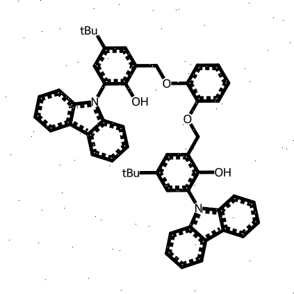 CC(C)(C)c1cc(COc2ccccc2OCc2cc(C(C)(C)C)cc(-n3c4ccccc4c4ccccc43)c2O)c(O)c(-n2c3ccccc3c3ccccc32)c1